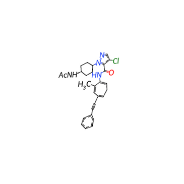 CC(=O)N[C@H]1CC[C@@H](n2ncc(Cl)c2C(=O)NC2=CCC=C(C#Cc3ccccc3)C=C2C)CC1